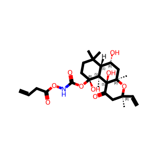 C=CCC(=O)ONC(=O)O[C@]1(O)CCC(C)(C)[C@@H]2[C@H](O)C[C@@]3(C)O[C@@](C)(C=C)CC(=O)[C@]3(O)[C@]21C